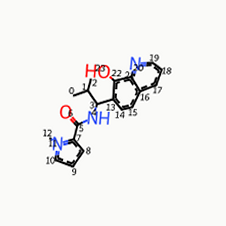 CC(C)C(NC(=O)c1cccn1C)c1ccc2cccnc2c1O